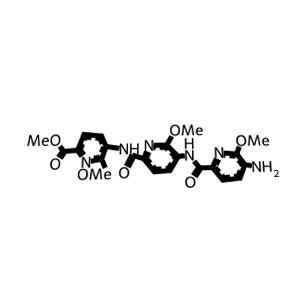 COC(=O)c1ccc(NC(=O)c2ccc(NC(=O)c3ccc(N)c(OC)n3)c(OC)n2)c(OC)n1